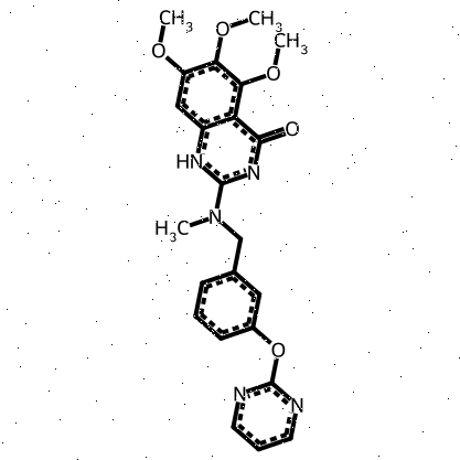 COc1cc2[nH]c(N(C)Cc3cccc(Oc4ncccn4)c3)nc(=O)c2c(OC)c1OC